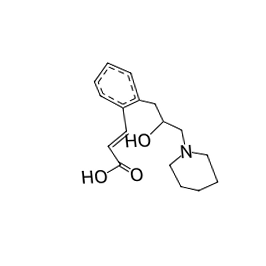 O=C(O)/C=C/c1ccccc1CC(O)CN1CCCCC1